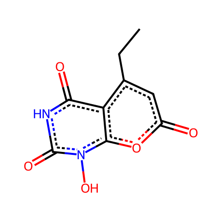 CCc1cc(=O)oc2c1c(=O)[nH]c(=O)n2O